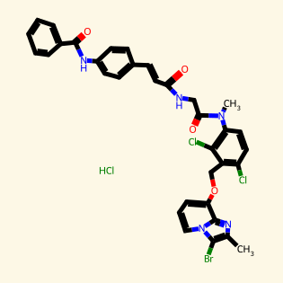 Cc1nc2c(OCc3c(Cl)ccc(N(C)C(=O)CNC(=O)/C=C/c4ccc(NC(=O)c5ccccc5)cc4)c3Cl)cccn2c1Br.Cl